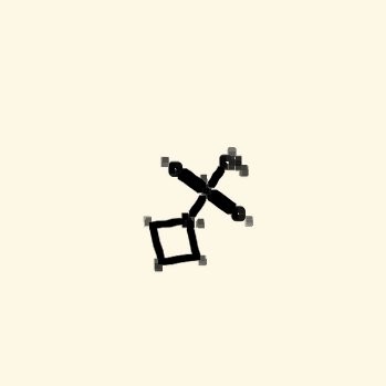 CS(=O)(=O)N1C[CH]C1